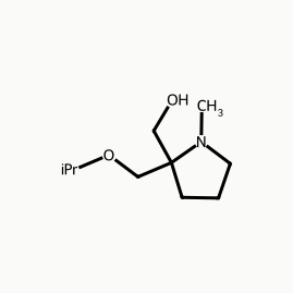 CC(C)OCC1(CO)CCCN1C